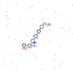 CCOC(=O)C1CCC(c2ccc(-c3cnc(N4CCN5c6cc(-c7ccccc7O)nnc6NC[C@H]5C4)nc3)cc2)CC1